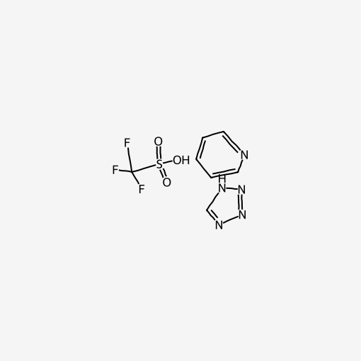 O=S(=O)(O)C(F)(F)F.c1ccncc1.c1nnn[nH]1